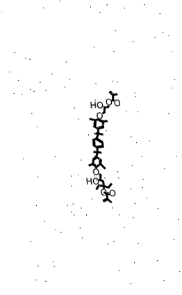 C=C(C)C(=O)OCC(O)COc1c(C)cc(C(C)(C)c2ccc(C(C)(C)c3cc(C)c(OCC(O)CC(CC)(CC)OC(=O)C(=C)C)c(C)c3)cc2)cc1C